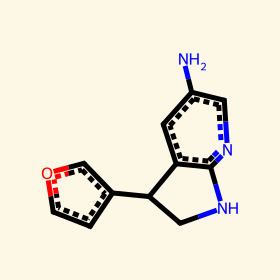 Nc1cnc2c(c1)C(c1ccoc1)CN2